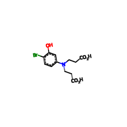 O=C(O)CCN(CCC(=O)O)c1ccc(Br)c(O)c1